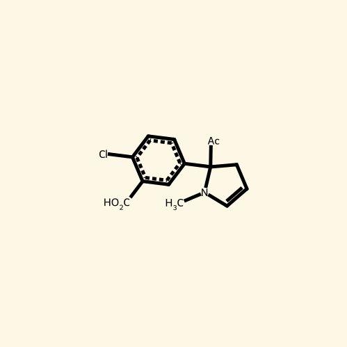 CC(=O)C1(c2ccc(Cl)c(C(=O)O)c2)CC=CN1C